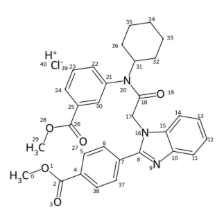 COC(=O)c1ccc(-c2nc3ccccc3n2CC(=O)N(c2cccc(C(=O)OC)c2)C2CCCCC2)cc1.[Cl-].[H+]